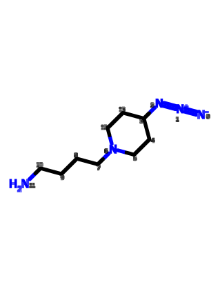 [N-]=[N+]=NC1CCN(CCCCN)CC1